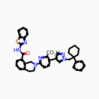 O=C(Nc1nc2ccccc2s1)c1cccc2c1CN(c1ccc(-c3cnn(CC4(c5ccccc5)CCCCC4)c3)c(C(=O)O)n1)CC2